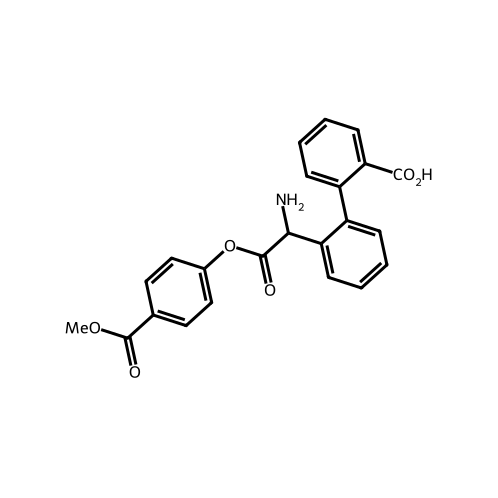 COC(=O)c1ccc(OC(=O)C(N)c2ccccc2-c2ccccc2C(=O)O)cc1